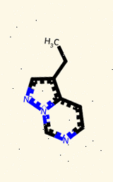 CCc1cnn2cnccc12